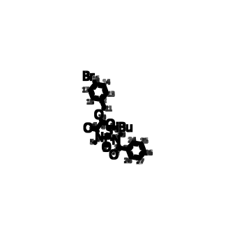 CCC(C)SP(=O)(N(C)C(=O)C(=O)OCc1ccc(Br)cc1)N(C)C(=O)c1ccccc1